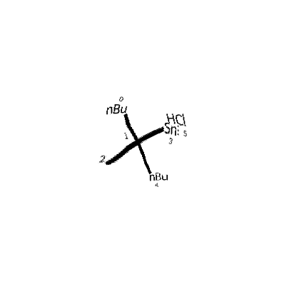 CCCC[C](C)([Sn])CCCC.Cl